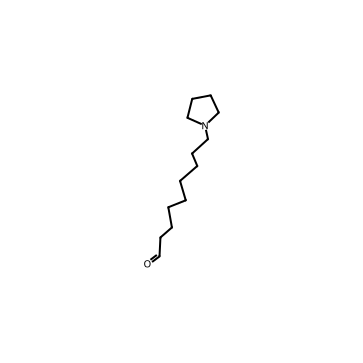 O=CCCCCCCCCN1CCCC1